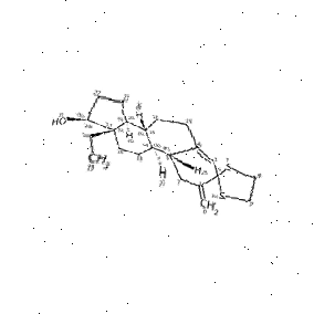 C=C1C[C@H]2C(=CC13SCCS3)CC[C@@H]1[C@@H]2CC[C@]2(CC)[C@@H](O)CC[C@@H]12